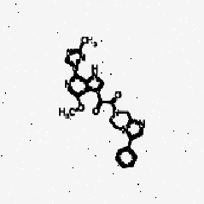 COc1cnc(-n2cnc(C)n2)c2[nH]cc(C(=O)C(=O)N3CCn4c(-c5ccccc5)cnc4C3)c12